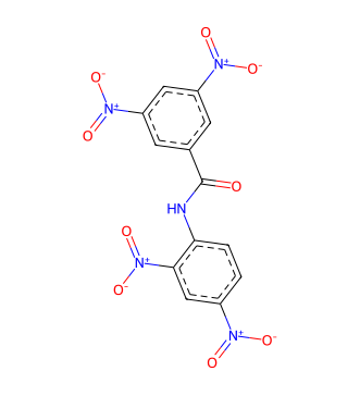 O=C(Nc1ccc([N+](=O)[O-])cc1[N+](=O)[O-])c1cc([N+](=O)[O-])cc([N+](=O)[O-])c1